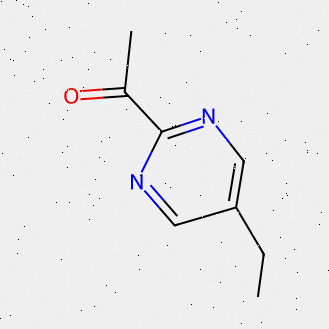 CCc1cnc(C(C)=O)nc1